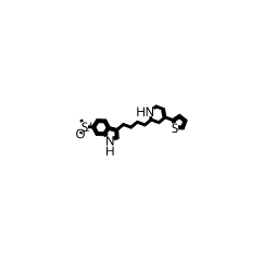 C[S+]([O-])c1ccc2c(CCCCC3CC(c4cccs4)=CCN3)c[nH]c2c1